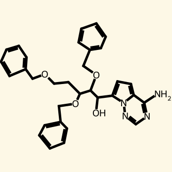 Nc1ncnn2c(C(O)C(OCc3ccccc3)C(CCOCc3ccccc3)OCc3ccccc3)ccc12